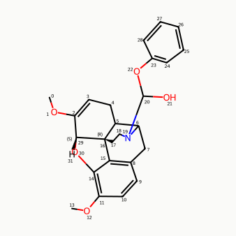 COC1=CCC2C3Cc4ccc(OC)c5c4[C@]2(CCN3C(O)Oc2ccccc2)[C@@H]1O5